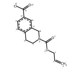 C=CCOC(=O)N1CCc2ccc(C(=O)Cl)cc2C1